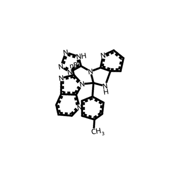 CCCCc1nc2cccnc2n1C1(c2ccc(C)cc2)Nc2cccnc2N1c1nnn[nH]1